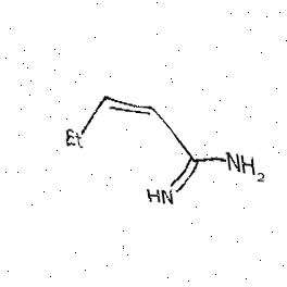 CC/C=C\C(=N)N